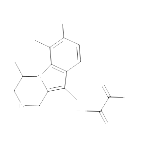 Cc1c2n(c3c(C)c(Cl)ccc13)C(C)CNC2.O=C(O)C(=O)O